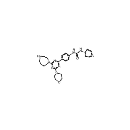 O=C(Nc1ccncc1)Nc1ccc(-c2nc(N3CCCNCC3)nc(N3CCOCC3)n2)cc1